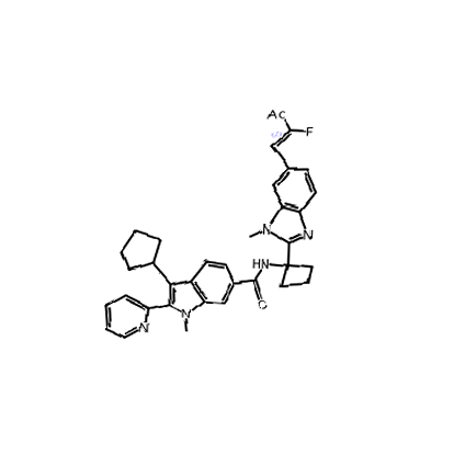 CC(=O)/C(F)=C/c1ccc2nc(C3(NC(=O)c4ccc5c(C6CCCC6)c(-c6ccccn6)n(C)c5c4)CCC3)n(C)c2c1